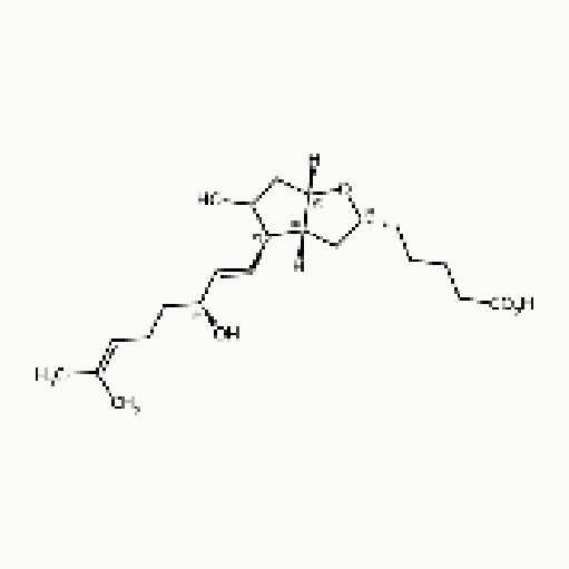 CC(C)=CCC[C@H](O)C=C[C@H]1C(O)C[C@@H]2O[C@H](CCCCC(=O)O)C[C@@H]21